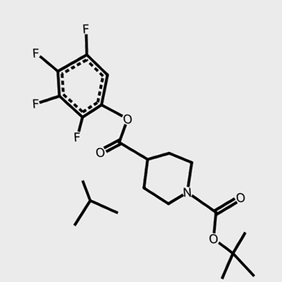 CC(C)(C)OC(=O)N1CCC(C(=O)Oc2cc(F)c(F)c(F)c2F)CC1.CC(C)C